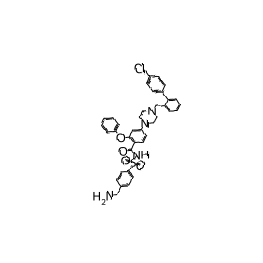 NCc1ccc(S(=O)(=O)NC(=O)c2ccc(N3CCN(Cc4ccccc4-c4ccc(Cl)cc4)CC3)cc2Oc2ccccc2)cc1